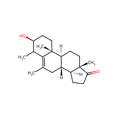 CC1=C2C(C)[C@@H](O)CC[C@]2(C)[C@H]2CC[C@]3(C)C(=O)CC[C@H]3[C@@H]2C1